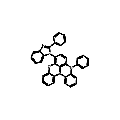 c1ccc(-c2nc3ccccc3n2-c2ccc3c4c2Oc2ccccc2B4c2ccccc2N3c2ccccc2)cc1